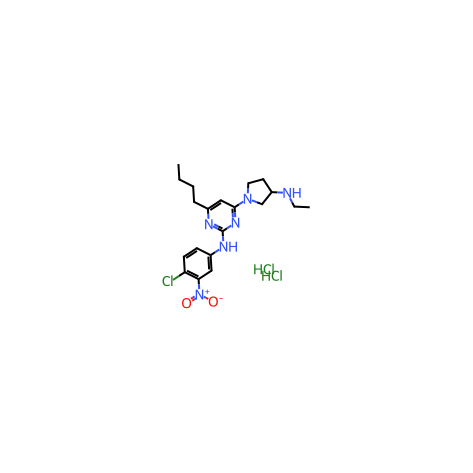 CCCCc1cc(N2CCC(NCC)C2)nc(Nc2ccc(Cl)c([N+](=O)[O-])c2)n1.Cl.Cl